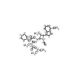 C=C1[C@@H](n2cnc3c(N)ncnc32)C(C#N)[C@H]1COP(=O)(N[C@@H](C)C(=O)OC(C)C)Oc1ccccc1